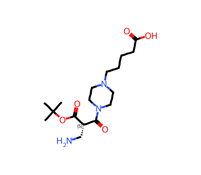 CC(C)(C)OC(=O)[C@@H](CN)C(=O)N1CCN(CCCCC(=O)O)CC1